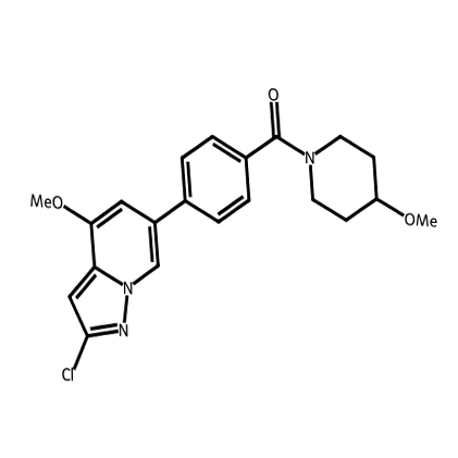 COc1cc(-c2ccc(C(=O)N3CCC(OC)CC3)cc2)cn2nc(Cl)cc12